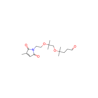 CC1=CC(=O)N(CCOC(C)(C)COC(C)(C)CCC=O)C1=O